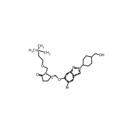 C[Si](C)(C)CCOCN1C(=O)CC[C@@H]1COc1cc2nn(C3CCC(CO)CC3)cc2cc1Br